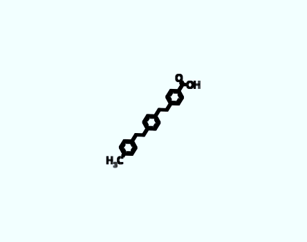 Cc1ccc(CCc2ccc(CCc3ccc(C(=O)O)cc3)cc2)cc1